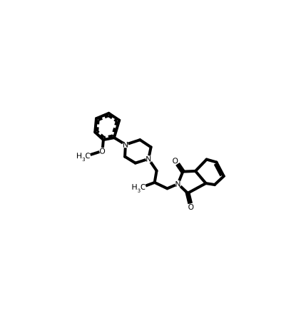 COc1ccccc1N1CCN(CC(C)CN2C(=O)C3CC=CCC3C2=O)CC1